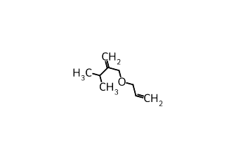 C=CCOCC(=C)C(C)C